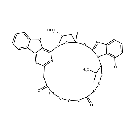 CC1CN2CCC1n1c(nc3cccc(Cl)c31)O[C@H]1C[C@@H](C(=O)O)N(C1)c1nc(nc3c1oc1ccccc13)CC(=O)NCCCC2=O